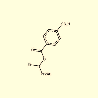 CCCCCC(CC)OC(=O)c1ccc(C(=O)O)cc1